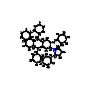 c1ccc(-c2ccccc2-c2c3ccccc3c(-c3ccccc3)c3cc(-n4c(-c5ccccc5)ccc4-c4ccccc4)ccc23)cc1